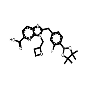 CC1(C)OB(c2ccc(Cc3nc4ccc(C(=O)O)nc4n3CC3CCO3)cc2F)OC1(C)C